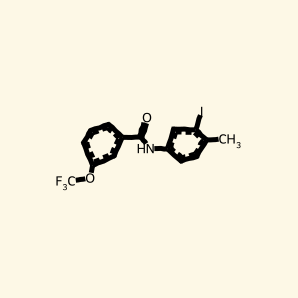 Cc1ccc(NC(=O)c2cccc(OC(F)(F)F)c2)cc1I